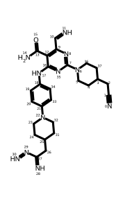 N#CCC1CCN(c2nc(C=N)c(C(N)=O)c(Nc3ccc(N4CCC(CC(=N)N=N)CC4)cc3)n2)CC1